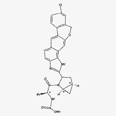 COC(=O)N[C@H](C(=O)N1C(c2nc3ccc4cc5c(cc4c3[nH]2)OCc2cc(Cl)ccc2-5)C[C@H]2C[C@H]21)C(C)C